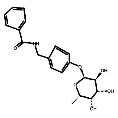 C[C@@H]1O[C@@H](Oc2ccc(CNC(=O)c3ccccc3)cc2)[C@@H](O)[C@H](O)[C@@H]1O